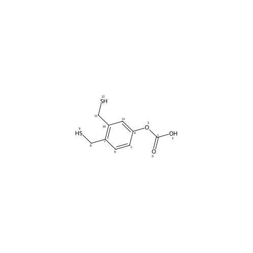 O=C(O)Oc1ccc(CS)c(CS)c1